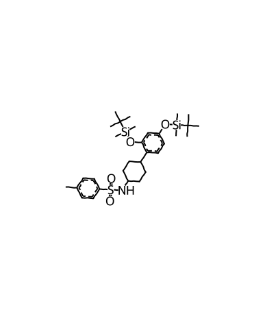 Cc1ccc(S(=O)(=O)NC2CCC(c3ccc(O[Si](C)(C)C(C)(C)C)cc3O[Si](C)(C)C(C)(C)C)CC2)cc1